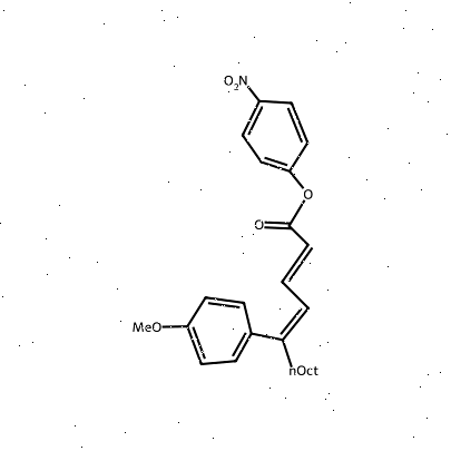 CCCCCCCCC(=CC=CC(=O)Oc1ccc([N+](=O)[O-])cc1)c1ccc(OC)cc1